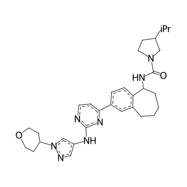 CC(C)C1CCN(C(=O)NC2CCCCc3cc(-c4ccnc(Nc5cnn(C6CCOCC6)c5)n4)ccc32)C1